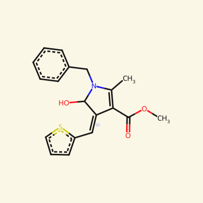 COC(=O)C1=C(C)N(Cc2ccccc2)C(O)/C1=C\c1cccs1